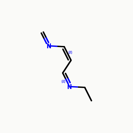 C=N/C=C\C=N/CC